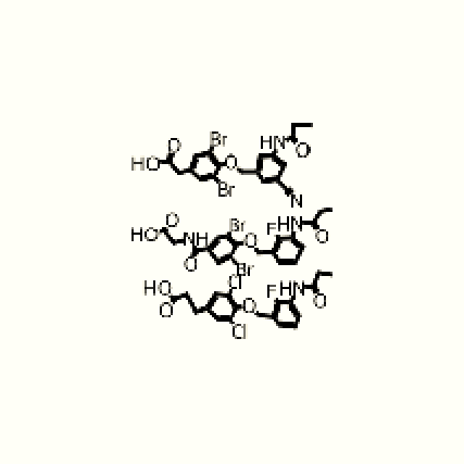 CCC(=O)Nc1cc(C#N)cc(COc2c(Br)cc(CC(=O)O)cc2Br)c1.CCC(=O)Nc1cccc(COc2c(Br)cc(C(=O)NCC(=O)O)cc2Br)c1F.CCC(=O)Nc1cccc(COc2c(Cl)cc(CCC(=O)O)cc2Cl)c1F